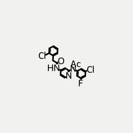 CC(=O)N(c1cc(F)cc(Cl)c1)c1cc(NC(=O)Cc2ccccc2Cl)ccn1